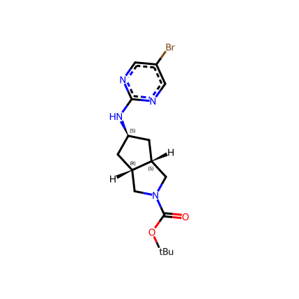 CC(C)(C)OC(=O)N1C[C@H]2C[C@H](Nc3ncc(Br)cn3)C[C@H]2C1